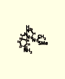 C=C(/N=C(\C=C/N)n1ncc2ccc(N)cc21)SC